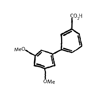 COc1cc(OC)cc(-c2cccc(C(=O)O)c2)c1